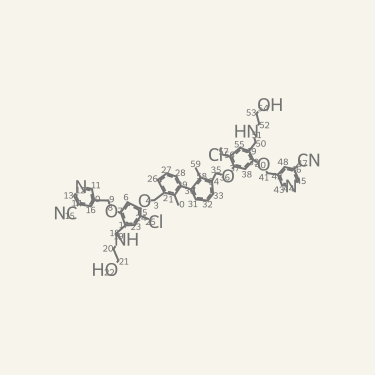 Cc1c(COc2cc(OCc3cncc(C#N)c3)c(CNCCO)cc2Cl)cccc1-c1cccc(COc2cc(OCc3cncc(C#N)c3)c(CNCCO)cc2Cl)c1C